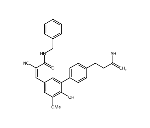 C=C(S)CCc1ccc(-c2cc(C=C(C#N)C(=O)NCc3ccccc3)cc(OC)c2O)cc1